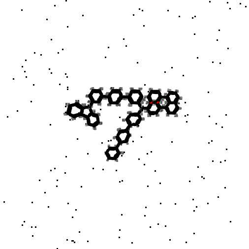 c1ccc(-c2ccc(-c3ccc(N(c4ccc(-c5cccc6cccc(-c7ccccc7)c56)cc4)c4cccc(-c5ccc(-c6cccc(-n7c8ccccc8c8ccccc87)c6)cc5)c4)cc3)cc2)cc1